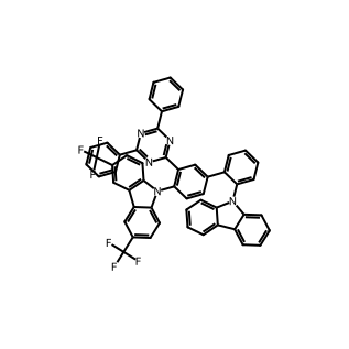 FC(F)(F)c1ccc2c(c1)c1cc(C(F)(F)F)ccc1n2-c1ccc(-c2ccccc2-n2c3ccccc3c3ccccc32)cc1-c1nc(-c2ccccc2)nc(-c2ccccc2)n1